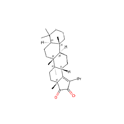 [CH2][C@@]12CC[C@]3(C)[C@H](CC[C@@H]4[C@@]5(C)CC[CH]C(C)(C)[C@@H]5CC[C@]43C)C1=C(C(C)C)C(=O)C2=O